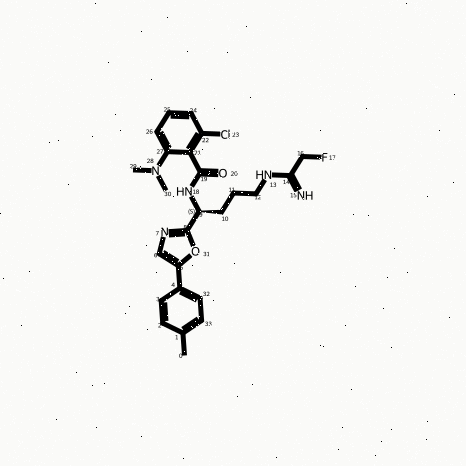 Cc1ccc(-c2cnc([C@H](CCCNC(=N)CF)NC(=O)c3c(Cl)cccc3N(C)C)o2)cc1